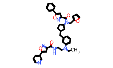 CCN(CCNC(=O)c1cc(-c2cccnc2)on1)c1cccc(CC2CCC(N(Cc3ccco3)C(=O)c3cc(-c4ccccc4)on3)C2)c1